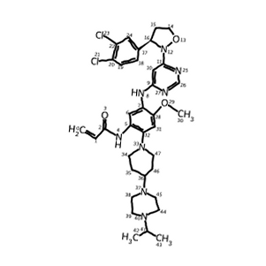 C=CC(=O)Nc1cc(Nc2cc(N3OCC[C@@H]3c3ccc(Cl)c(Cl)c3)ncn2)c(OC)cc1N1CCC(N2CCN(C(C)C)CC2)CC1